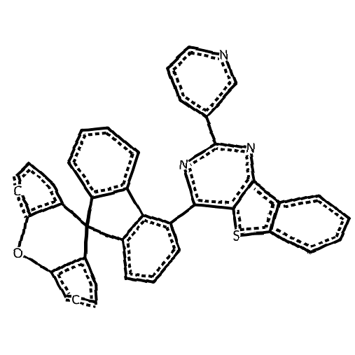 c1cncc(-c2nc(-c3cccc4c3-c3ccccc3C43c4ccccc4Oc4ccccc43)c3sc4ccccc4c3n2)c1